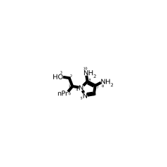 CCCC(CO)n1ncc(N)c1N